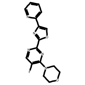 Fc1cnc(-c2nc(-c3ccccn3)co2)nc1N1CCOCC1